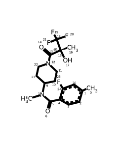 Cc1ccc(C(=O)N(C)C2CCN(C(=O)[C@@](C)(O)C(F)(F)F)CC2)c(F)c1